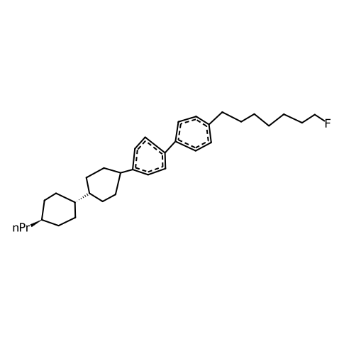 CCC[C@H]1CC[C@H](C2CCC(c3ccc(-c4ccc(CCCCCCCF)cc4)cc3)CC2)CC1